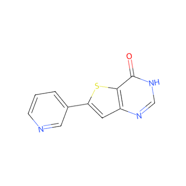 O=c1[nH]cnc2cc(-c3cccnc3)sc12